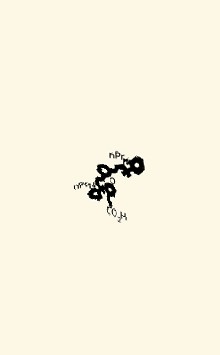 CCCN1/C(=C/C=C2\CCCC(/C=C/C3=[N+](CCC)c4ccccc4C3(C)C)=C2Oc2ccc(CCC(=O)O)cc2)C(C)(C)c2ccccc21